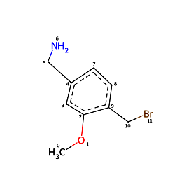 COc1cc(CN)ccc1CBr